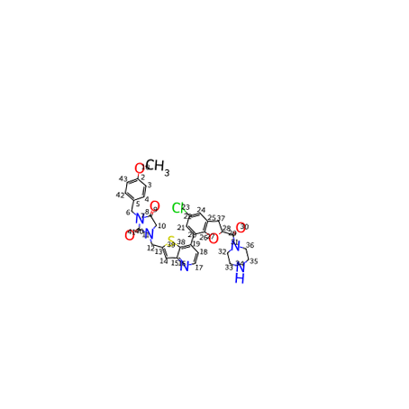 COc1ccc(CN2C(=O)CN(Cc3cc4nccc(-c5cc(Cl)cc6c5OC(C(=O)N5CCNCC5)C6)c4s3)C2=O)cc1